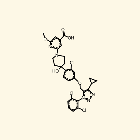 COc1cc(C(=O)O)cc(N2CCC(O)(c3ccc(OCc4c(C5CC5)nnn4-c4c(Cl)cccc4Cl)cc3Cl)CC2)n1